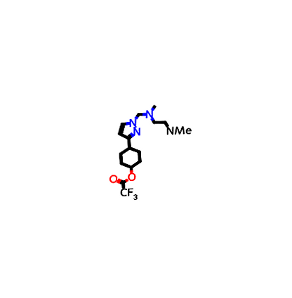 CNCCN(C)Cn1ccc(C2CCC(OC(=O)C(F)(F)F)CC2)n1